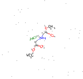 COC(=O)CNCC(=O)OC.Cl